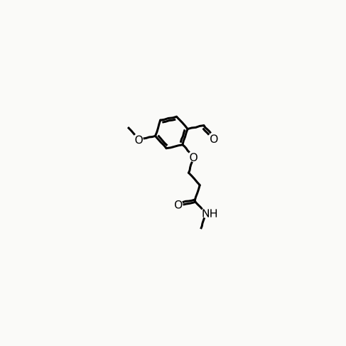 CNC(=O)CCOc1cc(OC)ccc1C=O